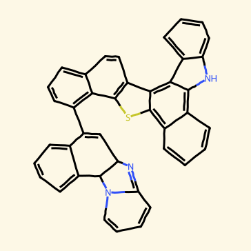 C1=CC2=NC3C=C(c4cccc5ccc6c(sc7c8ccccc8c8[nH]c9ccccc9c8c67)c45)c4ccccc4C3N2C=C1